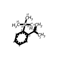 C=C(C)c1ccccc1[Si](C)(C)C